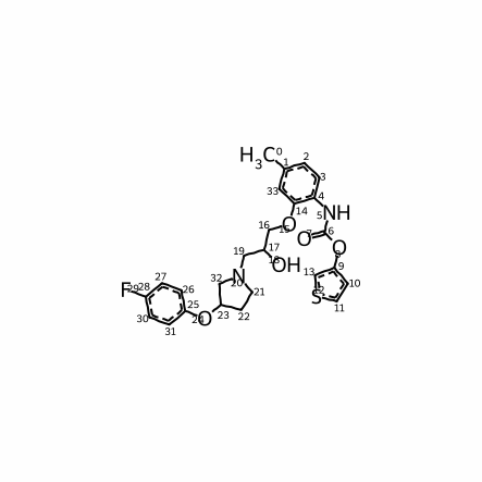 Cc1ccc(NC(=O)Oc2ccsc2)c(OCC(O)CN2CCC(Oc3ccc(F)cc3)C2)c1